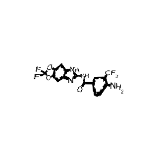 Nc1ccc(C(=O)Nc2nc3cc4c(cc3[nH]2)OC(F)(F)O4)cc1C(F)(F)F